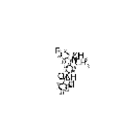 CN(C)C(c1ccc(F)cc1)C1CCC(NC(=O)c2ccccc2Cl)CC1